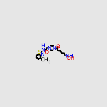 Cc1cccc2sc(NC(=O)CN3CCN(C(=O)CCCCCNO)CC3)nc12